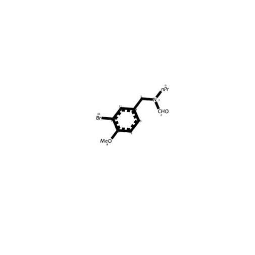 CCCN(C=O)Cc1ccc(OC)c(Br)c1